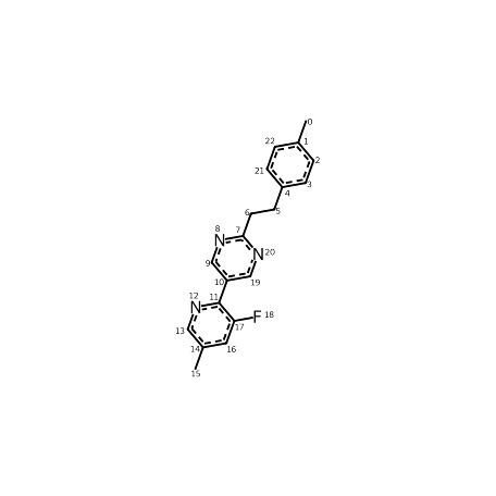 Cc1ccc(CCc2ncc(-c3ncc(C)cc3F)cn2)cc1